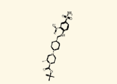 C[C@@H]1CN([C@H]2CC[C@H](CNc3ccc(S(N)(=O)=O)cc3[N+](=O)[O-])CC2)CCN1C(=O)OC(C)(C)C